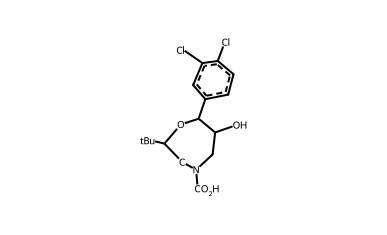 CC(C)(C)C1CN(C(=O)O)CC(O)C(c2ccc(Cl)c(Cl)c2)O1